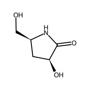 O=C1N[C@H](CO)C[C@@H]1O